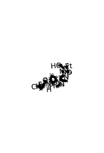 CCn1c(CO)nn(-c2cc3c(cn2)nc(CC(C)C)n3[C@@H]2CCC[C@H](NC(=O)c3ccc(Cl)s3)C2)c1=O